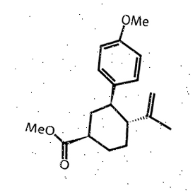 C=C(C)[C@@H]1CC[C@@H](C(=O)OC)C[C@H]1c1ccc(OC)cc1